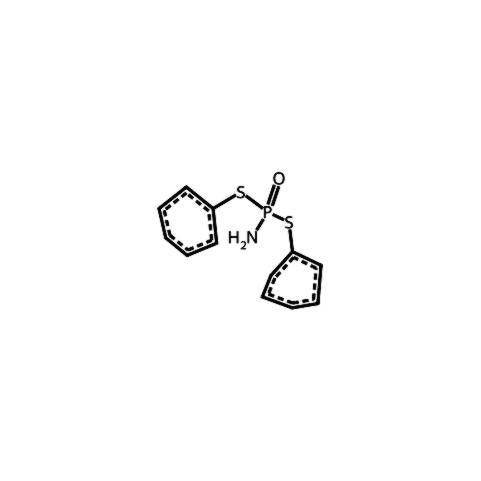 NP(=O)(Sc1ccccc1)Sc1ccccc1